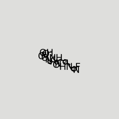 Nc1c(-c2cc(Cc3ccc(CNc4ccnc(F)c4)cc3)no2)ccc[n+]1COP(=O)([O-])O